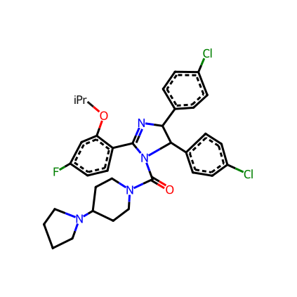 CC(C)Oc1cc(F)ccc1C1=NC(c2ccc(Cl)cc2)C(c2ccc(Cl)cc2)N1C(=O)N1CCC(N2CCCC2)CC1